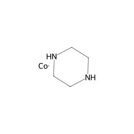 C1CNCCN1.[Co]